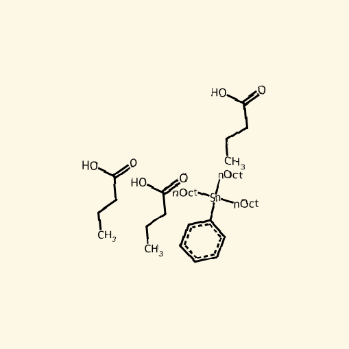 CCCC(=O)O.CCCC(=O)O.CCCC(=O)O.CCCCCCC[CH2][Sn]([CH2]CCCCCCC)([CH2]CCCCCCC)[c]1ccccc1